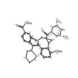 COC(=O)c1ccc2c(C3CCCCC3)c3n(c2c1)CC1(C(=O)N2C[C@@H](C)N[C@@H](C)C2)CC1c1c(OC)cccc1-3